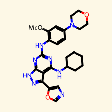 COc1cc(N2CCOCC2)ccc1Nc1nc(NC2CCCCC2)c2c(-c3cnco3)n[nH]c2n1